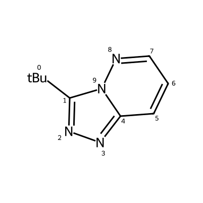 CC(C)(C)c1nnc2cccnn12